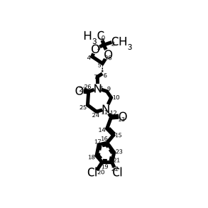 CC1(C)OC[C@@H](CCN2CCN(C(=O)/C=C/c3ccc(Cl)c(Cl)c3)CCC2=O)O1